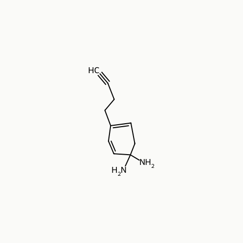 C#CCCC1=CCC(N)(N)C=C1